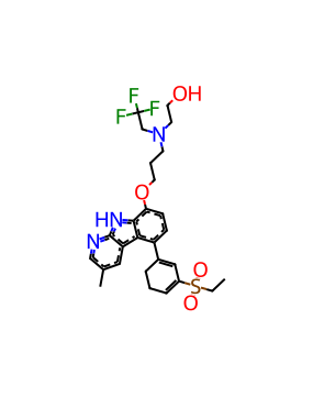 CCS(=O)(=O)C1=CCCC(c2ccc(OCCCN(CCO)CC(F)(F)F)c3[nH]c4ncc(C)cc4c23)=C1